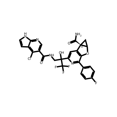 NC(=O)[C@@]12CC1Oc1c2cc(C(O)(CNC(=O)c2cnc3[nH]ccc3c2Cl)C(F)(F)F)nc1-c1ccc(F)cc1